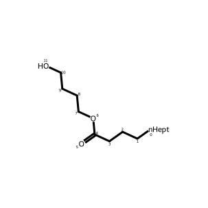 CCCCCCCCCCC(=O)OCCCCO